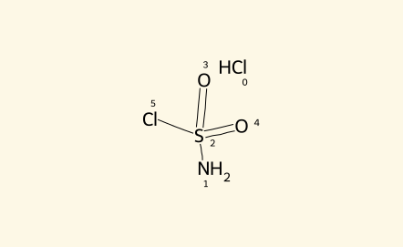 Cl.NS(=O)(=O)Cl